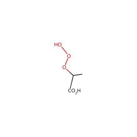 CC(OOO)C(=O)O